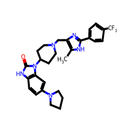 Cc1[nH]c(-c2ccc(C(F)(F)F)cc2)nc1CN1CCC(n2c(=O)[nH]c3ccc(N4CCCC4)cc32)CC1